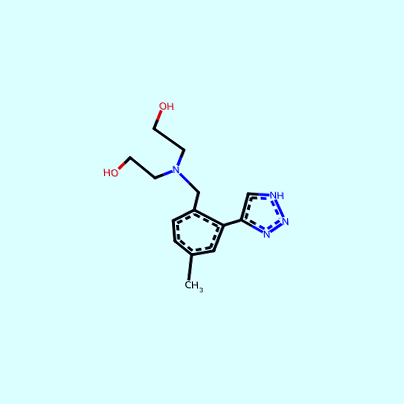 Cc1ccc(CN(CCO)CCO)c(-c2c[nH]nn2)c1